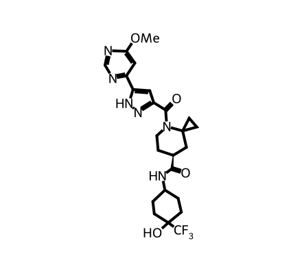 COc1cc(-c2cc(C(=O)N3CC[C@H](C(=O)NC4CCC(O)(C(F)(F)F)CC4)CC34CC4)n[nH]2)ncn1